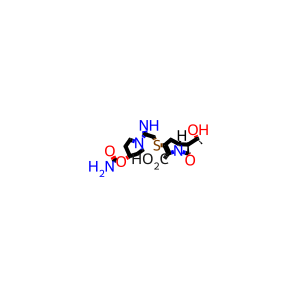 C[C@@H](O)[C@H]1C(=O)N2C(C(=O)O)=C(SCC(=N)N3CCC(OC(N)=O)CC3)C[C@H]12